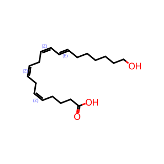 O=C(O)CCC/C=C\C/C=C\C/C=C\C=C\CCCCCCO